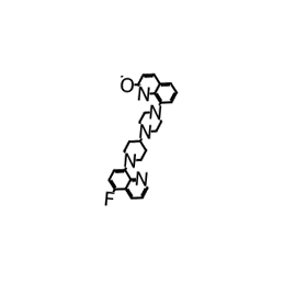 COc1ccc2cccc(N3CCN(C4CCN(c5ccc(F)c6cccnc56)CC4)CC3)c2n1